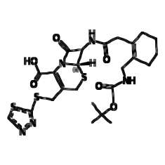 CC(C)(C)OC(=O)NCC1=C(CC(=O)NC2C(=O)N3C(C(=O)O)=C(CSc4nncs4)CS[C@@H]23)CCCC1